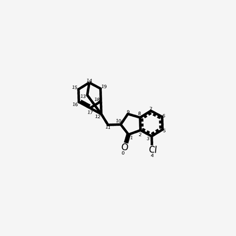 O=C1c2c(Cl)cccc2CC1CC12CC3CC=C1C2C3